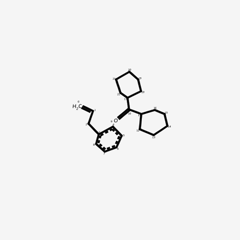 C=CCc1ccccc1.O=C(C1CCCCC1)C1CCCCC1